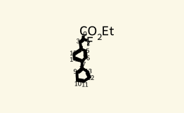 CCOC(=O)C(F)=Cc1ccc(-c2ccccc2)cc1